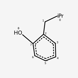 CC(C)Cc1cc[c]cc1O